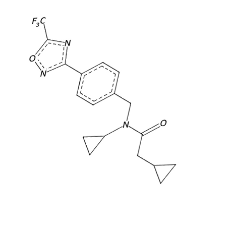 O=C(CC1CC1)N(Cc1ccc(-c2noc(C(F)(F)F)n2)cc1)C1CC1